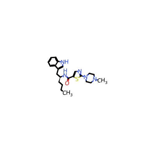 CCCC[C@@H](Cc1c[nH]c2ccccc12)NC(=O)c1cnc(N2CCN(C)CC2)s1